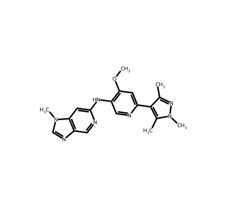 COc1cc(-c2c(C)nn(C)c2C)ncc1Nc1cc2c(cn1)ncn2C